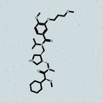 COCCCOc1cc(C(=O)N(C[C@@H]2CNC[C@H]2CN(C)C(=O)[C@@H](OC)C2CCCCC2)C(C)C)ccc1OC